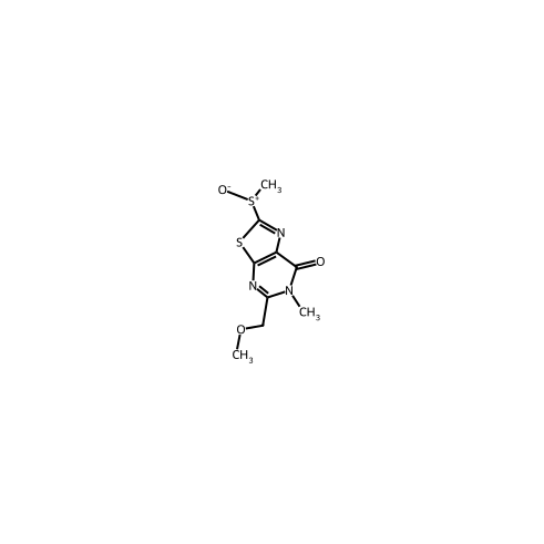 COCc1nc2sc([S+](C)[O-])nc2c(=O)n1C